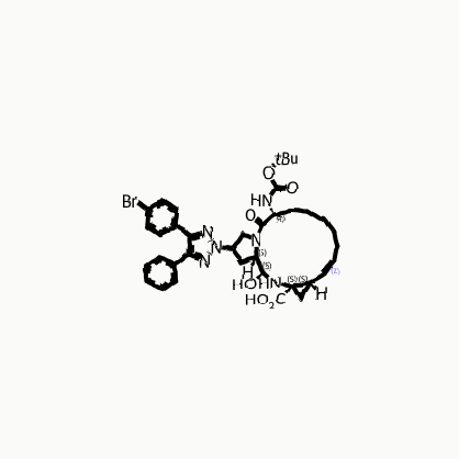 CC(C)(C)OC(=O)N[C@@H]1CCCCC/C=C\[C@@H]2C[C@]2(C(=O)O)N[C@@H](O)[C@@H]2CC(n3nc(-c4ccccc4)c(-c4ccc(Br)cc4)n3)CN2C1=O